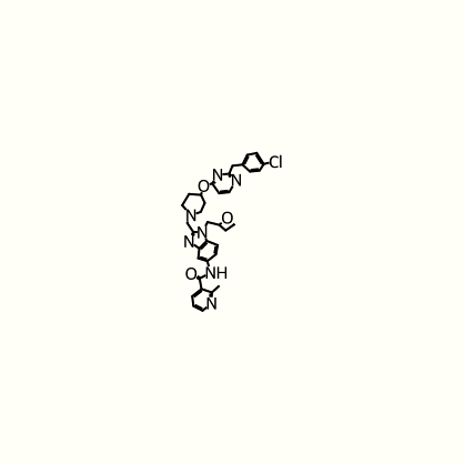 Cc1ncccc1C(=O)Nc1ccc2c(c1)nc(CN1CCC(Oc3ccnc(Cc4ccc(Cl)cc4)n3)CC1)n2CC1CCO1